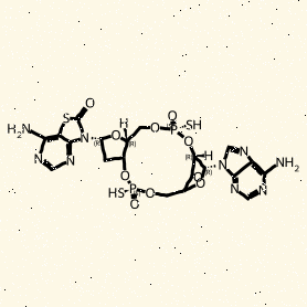 Nc1ncnc2c1ncn2[C@@H]1OC2CO[P@](=O)(S)OC3C[C@H](n4c(=O)sc5c(N)ncnc54)O[C@@H]3CO[P@](=O)(S)O[C@H]1C2=O